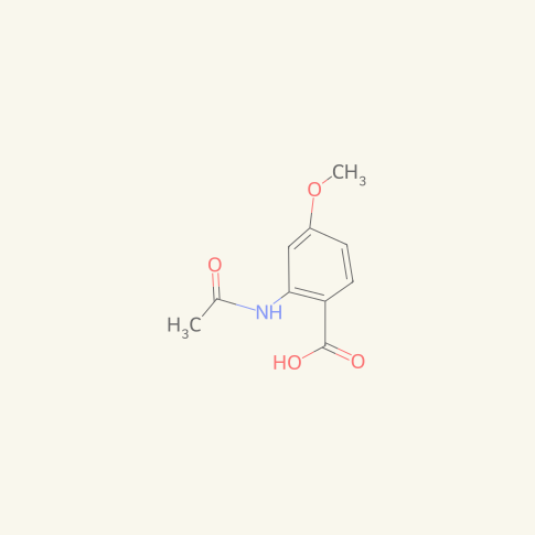 COc1ccc(C(=O)O)c(NC(C)=O)c1